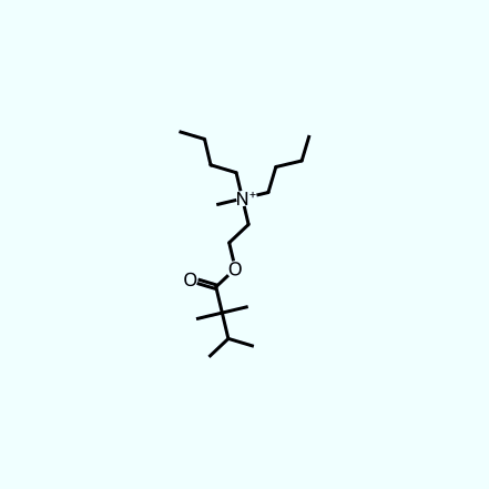 CCCC[N+](C)(CCCC)CCOC(=O)C(C)(C)C(C)C